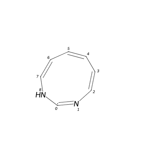 [c]1ncccccc[nH]1